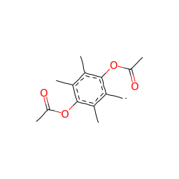 [CH2]c1c(C)c(OC(C)=O)c(C)c(C)c1OC(C)=O